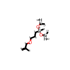 C=C(C)COCCC[Si](C)(O[SiH](C)C)O[SiH](C)C